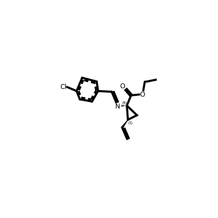 C=C[C@@H]1C[C@]1(N=Cc1ccc(Cl)cc1)C(=O)OCC